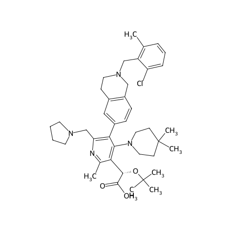 Cc1cccc(Cl)c1CN1CCc2cc(-c3c(CN4CCCC4)nc(C)c([C@H](OC(C)(C)C)C(=O)O)c3N3CCC(C)(C)CC3)ccc2C1